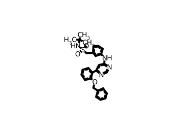 CC(C)(C)NS(=O)(=O)Cc1cccc(Nc2cc(-c3ccccc3OCc3ccccc3)ncn2)c1